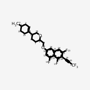 CC1CC=C(C2CCC(COc3cc(F)c4c(F)c(C#CC(F)(F)F)c(F)cc4c3)OC2)CC1